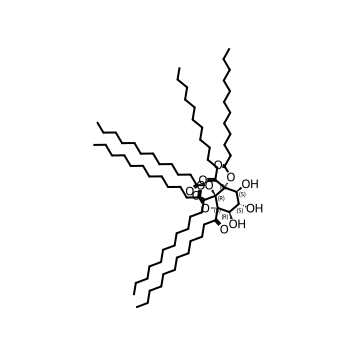 CCCCCCCCCCCC(=O)O[C@@]1(C(=O)CCCCCCCCCCC)[C@@](OC(=O)CCCCCCCCCCC)(C(=O)CCCCCCCCCCC)[C@@H](O)[C@H](O)[C@@H](O)[C@@]1(OC(=O)CCCCCCCCCCC)C(=O)CCCCCCCCCCC